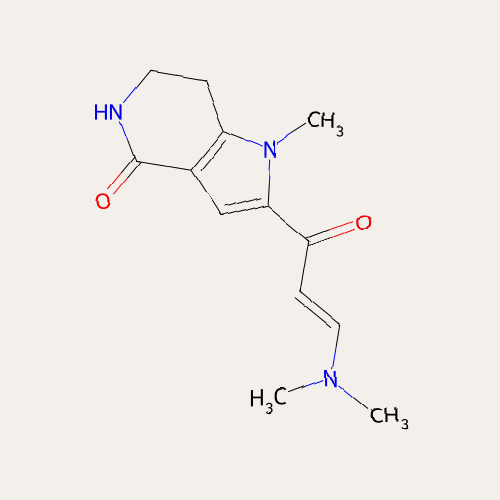 CN(C)C=CC(=O)c1cc2c(n1C)CCNC2=O